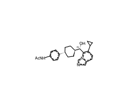 CC(=O)Nc1ccc([C@H]2CC[C@H]([C@H](O)c3c(C4CC4)ccc4cncn34)CC2)cc1